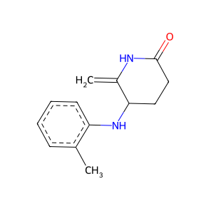 C=C1NC(=O)CCC1Nc1ccccc1C